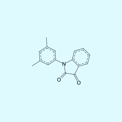 Cc1cc(C)cc(N2C(=O)C(=O)c3ccccc32)c1